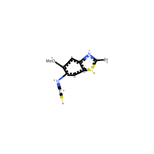 CCc1nc2cc(OC)c(N=C=S)cc2s1